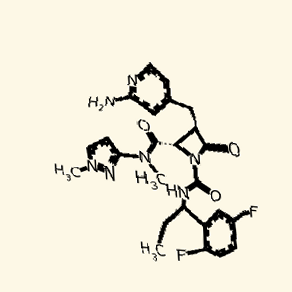 CCC(NC(=O)N1C(=O)[C@H](Cc2ccnc(N)c2)[C@H]1C(=O)N(C)c1ccn(C)n1)c1cc(F)ccc1F